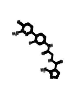 Cn1nccc1C(=O)NCC(=O)Nc1ccc(-c2ccc(=O)n(C)n2)c(F)c1